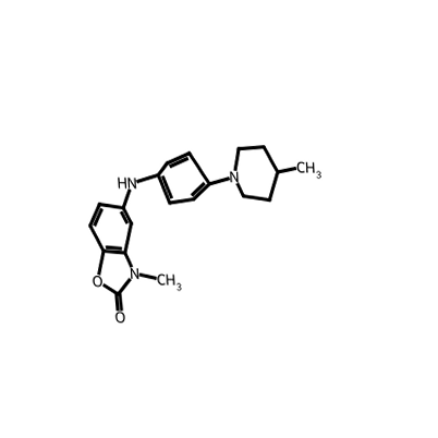 CC1CCN(c2ccc(Nc3ccc4oc(=O)n(C)c4c3)cc2)CC1